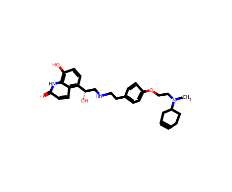 CN(CCOc1ccc(CCNC[C@H](O)c2ccc(O)c3[nH]c(=O)ccc23)cc1)C1CC#CCC1